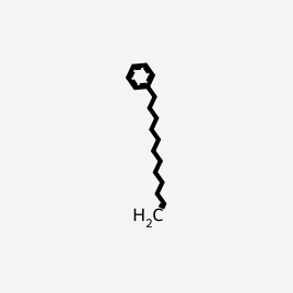 C=CCCCCCCCCCCc1ccccc1